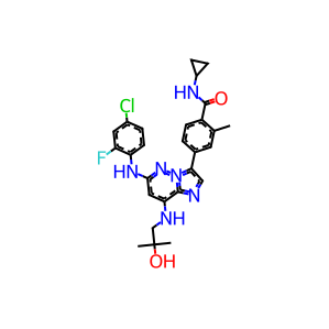 Cc1cc(-c2cnc3c(NCC(C)(C)O)cc(Nc4ccc(Cl)cc4F)nn23)ccc1C(=O)NC1CC1